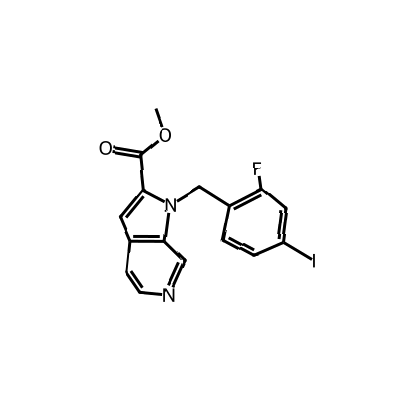 COC(=O)c1cc2ccncc2n1Cc1ccc(I)cc1F